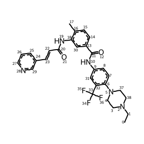 CCN1CCN(c2ccc(NC(=O)c3ccc(C)c(NC(=O)C=Cc4cccnc4)c3)cc2C(F)(F)F)CC1